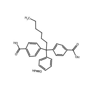 CCCCCCC(c1ccccc1)(c1ccc(C(=O)O)cc1)c1ccc(C(=O)O)cc1.O=P